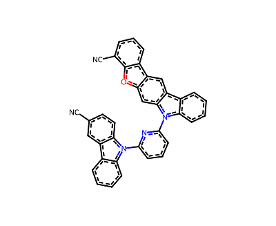 N#Cc1ccc2c(c1)c1ccccc1n2-c1cccc(-n2c3ccccc3c3cc4c(cc32)oc2c(C#N)cccc24)n1